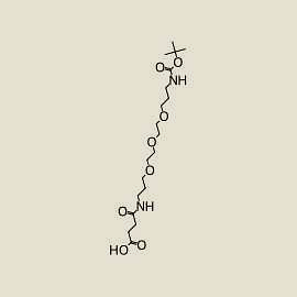 CC(C)(C)OC(=O)NCCCOCCOCCOCCCNC(=O)CCC(=O)O